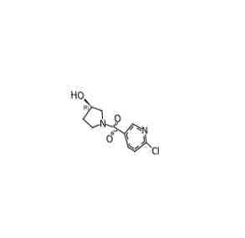 O=S(=O)(c1ccc(Cl)nc1)N1CC[C@@H](O)C1